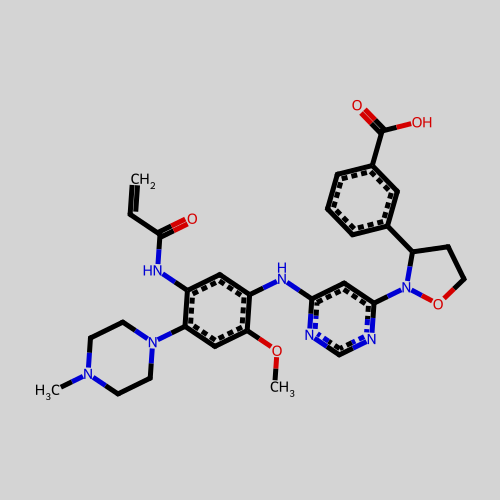 C=CC(=O)Nc1cc(Nc2cc(N3OCCC3c3cccc(C(=O)O)c3)ncn2)c(OC)cc1N1CCN(C)CC1